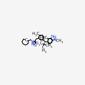 Cc1ccc([C@@H](c2ccc3c(nnn3C)c2C)C(C)(C)C(=O)O)cc1Cc1cnnn1CC1CCCCCC1